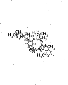 Cc1cccc(C)c1-c1nc2nc(c1F)OC[C@@H](CC(C)(C)C)C(Cc1ncc(N3CCC(C)(C)C3)cn1)c1cccc(c1)S(=O)(=O)N2